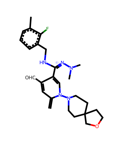 C=C1C=C(C=O)C(/C(=N\N(C)C)NCc2cccc(C)c2F)=CN1N1CCC2(CCOC2)CC1